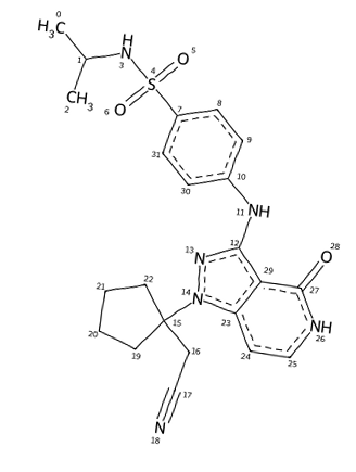 CC(C)NS(=O)(=O)c1ccc(Nc2nn(C3(CC#N)CCCC3)c3cc[nH]c(=O)c23)cc1